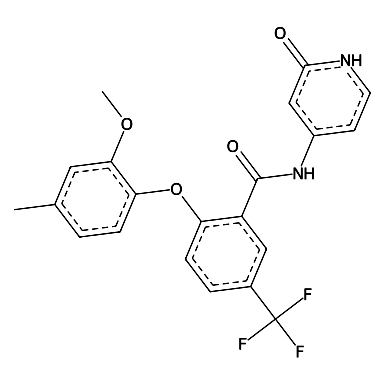 COc1cc(C)ccc1Oc1ccc(C(F)(F)F)cc1C(=O)Nc1cc[nH]c(=O)c1